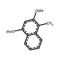 COc1cc(OC)c2ccccc2c1C